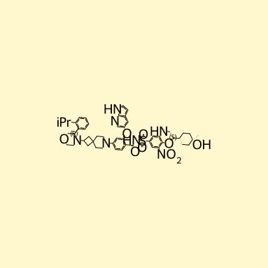 CC(C)c1ccccc1[C@@H]1COCCN1C1CC2(CCN(c3ccc(C(=O)NS(=O)(=O)c4cc5c(c([N+](=O)[O-])c4)O[C@@H]([C@H]4CC[C@](C)(O)CC4)CN5)c(Oc4cnc5[nH]ccc5c4)c3)CC2)C1